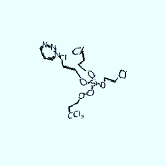 ClCCO[Si](OCCCl)(OCCCl)OOCCC(Cl)(Cl)Cl.c1cnnnc1